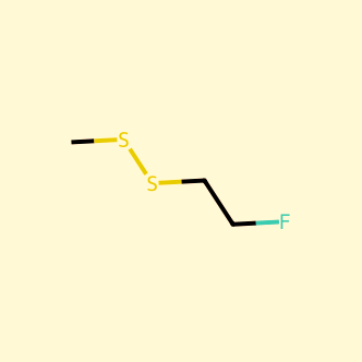 CSSCCF